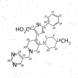 CC1CCC(C2=C(c3cc(-c4ccccc4)sc3C(=O)O)CCN(Cc3cncnc3)C2)CC1